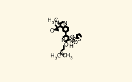 CN(C)CCCOc1ncc(-c2ccc3ncc4c(c3c2)C2(CC2=O)CN4C)cc1NS(=O)(=O)c1cccs1